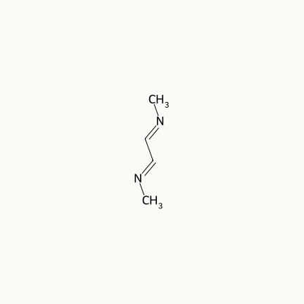 CN=CC=NC